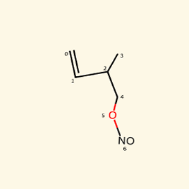 C=CC(C)CON=O